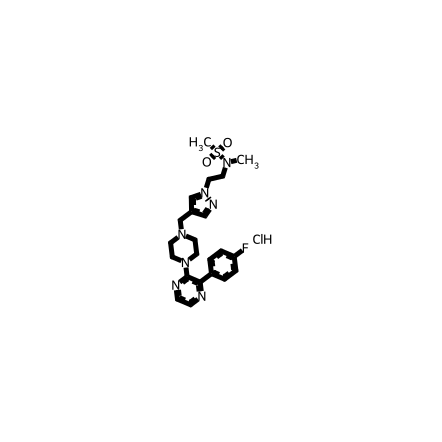 CN(CCn1cc(CN2CCN(c3nccnc3-c3ccc(F)cc3)CC2)cn1)S(C)(=O)=O.Cl